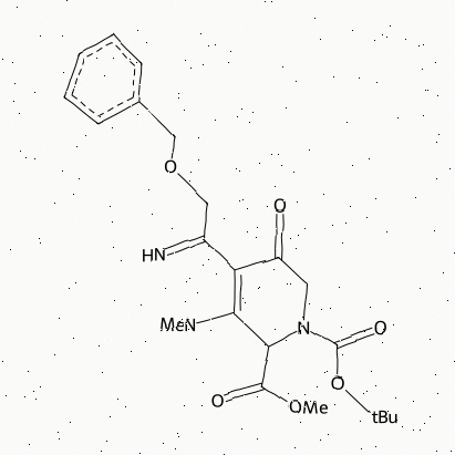 CNC1=C(C(=N)COCc2ccccc2)C(=O)CN(C(=O)OC(C)(C)C)C1C(=O)OC